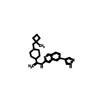 C=C(Nc1cc2cc(-c3cn[nH]c3)ccc2cn1)C1CCN(CC2(C)CCC2)CC1